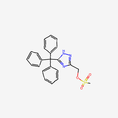 CS(=O)(=O)OCc1n[nH]c(C(c2ccccc2)(c2ccccc2)c2ccccc2)n1